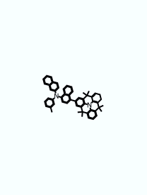 Cc1cccc(N(c2ccc3ccccc3c2)c2ccc(-c3cc4c5c(c3)C(C)(C)c3cccc6c3N5C3=C(CCC=C3C4(C)C)C6(C)C)c3ccccc23)c1